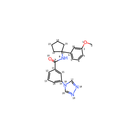 COc1cccc(C2(NC(=O)c3cccc(-n4cnnc4)c3)CCCC2)c1